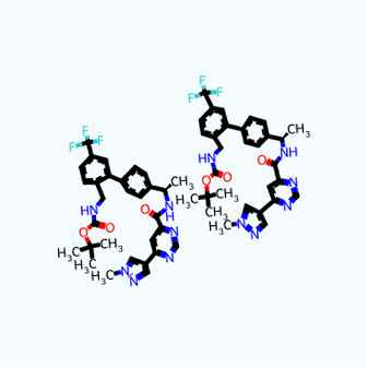 C[C@@H](NC(=O)c1cc(-c2cnn(C)c2)ncn1)c1ccc(-c2cc(C(F)(F)F)ccc2CNC(=O)OC(C)(C)C)cc1.C[C@@H](NC(=O)c1cc(-c2cnn(C)c2)ncn1)c1ccc(-c2cc(C(F)(F)F)ccc2CNC(=O)OC(C)(C)C)cc1